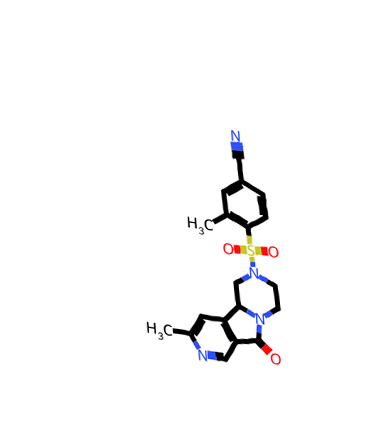 Cc1cc2c(cn1)C(=O)N1CCN(S(=O)(=O)c3ccc(C#N)cc3C)CC21